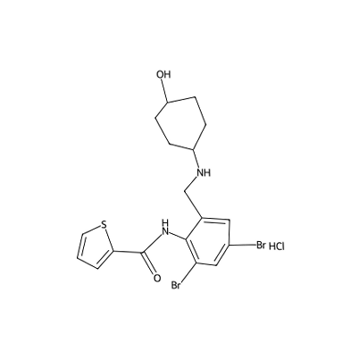 Cl.O=C(Nc1c(Br)cc(Br)cc1CNC1CCC(O)CC1)c1cccs1